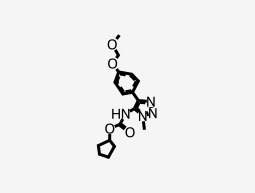 COCOc1ccc(-c2nnn(C)c2NC(=O)OC2CCCC2)cc1